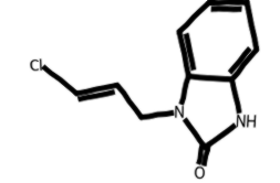 O=c1[nH]c2ccccc2n1CC=CCl